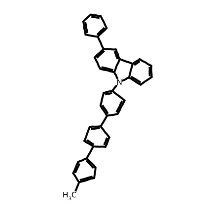 Cc1ccc(-c2ccc(-c3ccc(-n4c5ccccc5c5cc(-c6ccccc6)ccc54)cc3)cc2)cc1